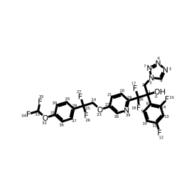 OC(Cn1cnnn1)(c1ccc(F)cc1F)C(F)(F)c1ccc(OCC(F)(F)c2ccc(OC(F)F)cc2)cn1